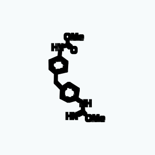 COC(=N)Nc1ccc(Cc2ccc(NC(=O)OC)cc2)cc1